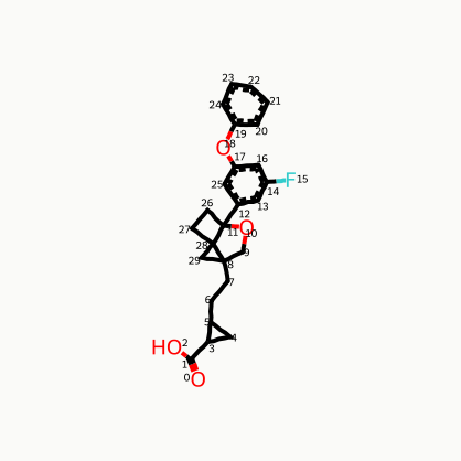 O=C(O)C1CC1CCC12COC3(c4cc(F)cc(Oc5ccccc5)c4)CCC13C2